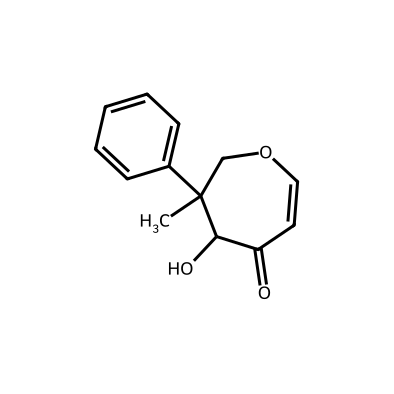 CC1(c2ccccc2)COC=CC(=O)C1O